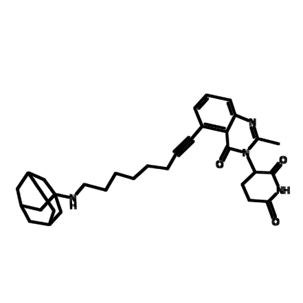 Cc1nc2cccc(C#CCCCCCCNC34CC5CC(CC(C5)C3)C4)c2c(=O)n1C1CCC(=O)NC1=O